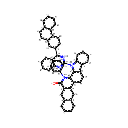 O=c1c2cc3ccccc3cc2c2ccc3c4ccccc4n(-c4nc(-c5ccc6c(ccc7ccccc76)c5)c5ccccc5n4)c3c2n1-c1ccccc1